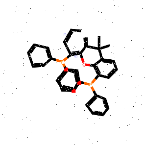 C=C1/C(=C(\C=C/C)P(c2ccccc2)c2ccccc2)Oc2c(P(c3ccccc3)c3ccccc3)cccc2C1(C)C